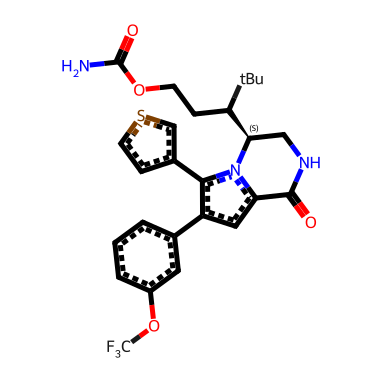 CC(C)(C)C(CCOC(N)=O)[C@H]1CNC(=O)c2cc(-c3cccc(OC(F)(F)F)c3)c(-c3ccsc3)n21